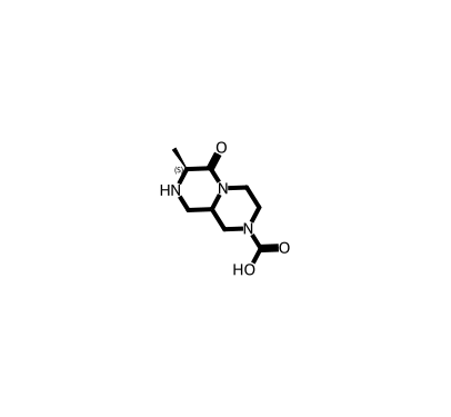 C[C@@H]1NCC2CN(C(=O)O)CCN2C1=O